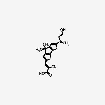 CN(CCO)c1cc2c(s1)-c1sc(/C=C(\C#N)C(=O)C#N)cc1C2(C)C